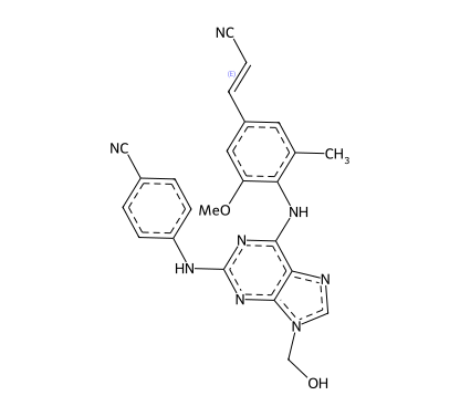 COc1cc(/C=C/C#N)cc(C)c1Nc1nc(Nc2ccc(C#N)cc2)nc2c1ncn2CO